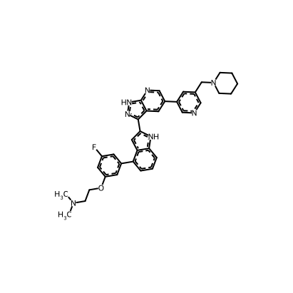 CN(C)CCOc1cc(F)cc(-c2cccc3[nH]c(-c4n[nH]c5ncc(-c6cncc(CN7CCCCC7)c6)cc45)cc23)c1